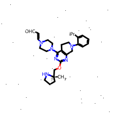 CC(C)c1ccccc1N1CCc2c(nc(OC[C@]3(C)CCCN3)nc2N2CCN(C=CC=O)CC2)C1